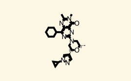 Cc1nc2c(C3CCCCC3)nc(N3C[C@@H](c4cnn(C5CC5)c4)O[C@@H](C)C3)nc2c(=O)n1C